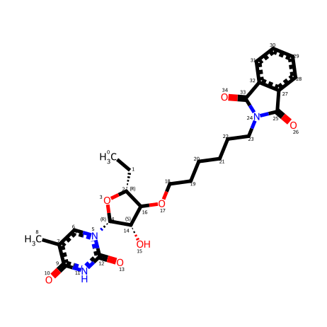 CC[C@H]1O[C@@H](n2cc(C)c(=O)[nH]c2=O)[C@@H](O)C1OCCCCCCN1C(=O)c2ccccc2C1=O